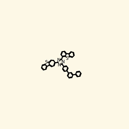 C1=C(c2nc(-c3ccc(-c4cccc(-c5ccccc5)c4)cc3)nc(-c3cccc4c3sc3ccccc34)n2)CC=c2sc3ccccc3c2=C1